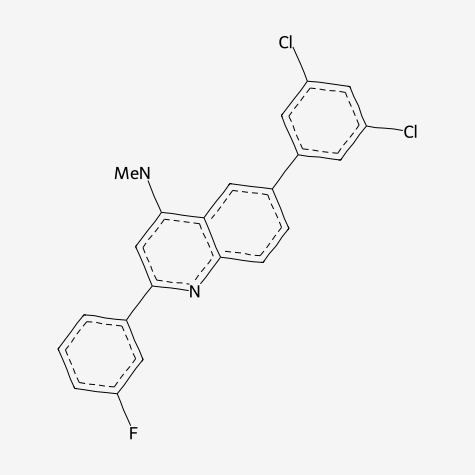 CNc1cc(-c2cccc(F)c2)nc2ccc(-c3cc(Cl)cc(Cl)c3)cc12